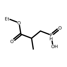 CCOC(=O)C(C)C[PH](=O)O